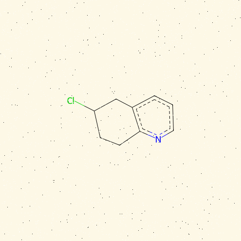 ClC1CCc2ncccc2C1